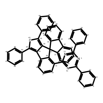 c1ccc(-c2nc(-c3ccccc3)nc(-c3cccc4c3C3(c5ccccc5-c5ccccc53)c3c(-c5ccccc5)oc(-c5ccccc5)c3-4)n2)cc1